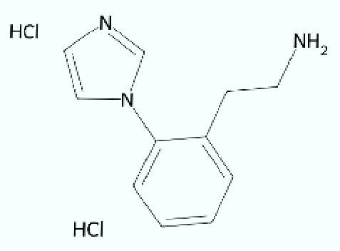 Cl.Cl.NCCc1ccccc1-n1ccnc1